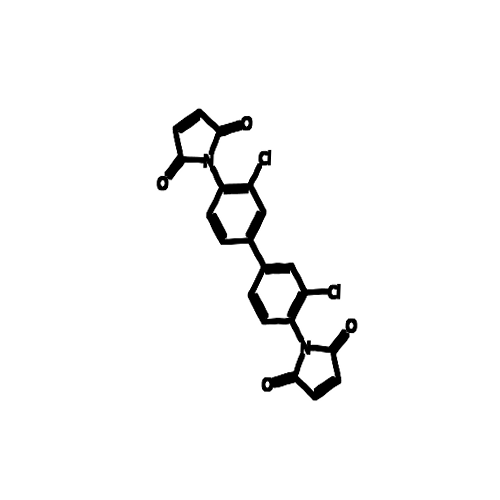 O=C1C=CC(=O)N1c1ccc(-c2ccc(N3C(=O)C=CC3=O)c(Cl)c2)cc1Cl